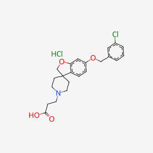 Cl.O=C(O)CCN1CCC2(CC1)COc1cc(OCc3cccc(Cl)c3)ccc12